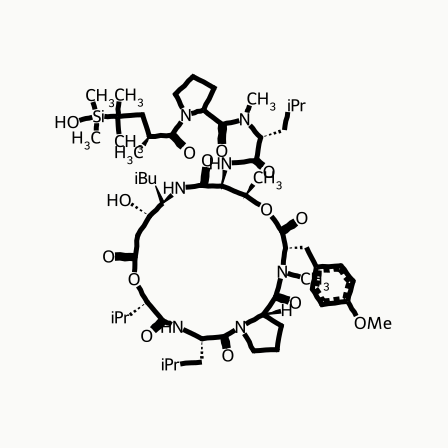 CC[C@H](C)[C@H]1NC(=O)[C@@H](NC(=O)[C@@H](CC(C)C)N(C)C(=O)C2CCCN2C(=O)[C@@H](C)CC(C)(C)[Si](C)(C)O)[C@@H](C)OC(=O)[C@H](Cc2ccc(OC)cc2)N(C)C(=O)[C@@H]2CCCN2C(=O)[C@H](CC(C)C)NC(=O)[C@H](C(C)C)OC(=O)C[C@@H]1O